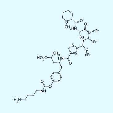 CCCO[C@H](C[C@H](C(C)C)N(CCC)C(=O)[C@@H](NC(=O)[C@H]1CCCCN1C)[C@@H](C)CC)c1nc(C(=O)N[C@@H](Cc2ccc(OC(=O)NCCCCN)cc2)C[C@H](C)C(=O)O)cs1